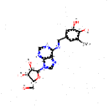 COc1cc(CNc2ncnc3c2ncn3C2O[C@H](CO)[C@@H](O)[C@H]2O)cc(O)c1O